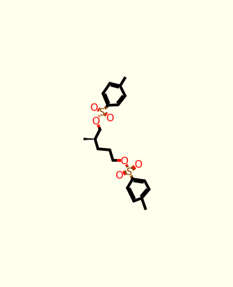 Cc1ccc(S(=O)(=O)OCCC[C@@H](C)COS(=O)(=O)c2ccc(C)cc2)cc1